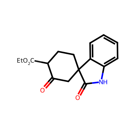 CCOC(=O)C1CCC2(CC1=O)C(=O)Nc1ccccc12